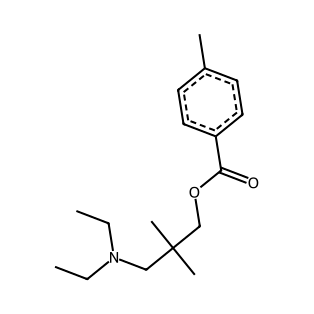 CCN(CC)CC(C)(C)COC(=O)c1ccc(C)cc1